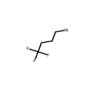 [N]CCCC(F)(F)F